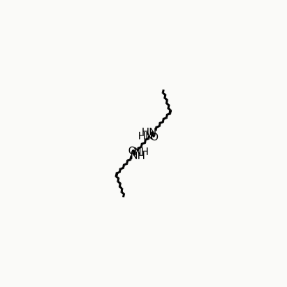 CCCCCCCC/C=C\CCCCCCCCNC(=O)NCCCCCCNC(=O)NCCCCCCCC/C=C\CCCCCCCC